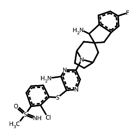 CS(=N)(=O)c1cccc(Sc2ncc(N3C4CCC3CC3(Cc5cc(F)ccc5C3N)C4)nc2N)c1Cl